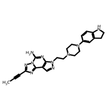 CC#Cc1nc2c3cnn(CCN4CCN(c5ccc6c(c5)CCN6)CC4)c3nc(N)n2n1